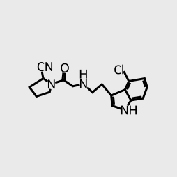 N#CC1CCCN1C(=O)CNCCc1c[nH]c2cccc(Cl)c12